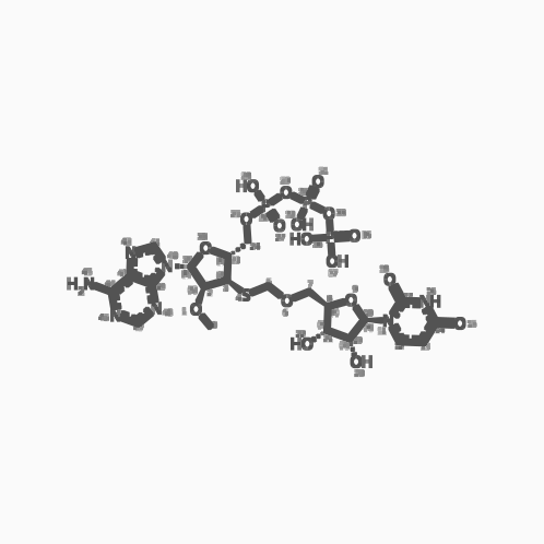 CO[C@@H]1[C@H](SCOC[C@H]2O[C@@H](n3ccc(=O)[nH]c3=O)[C@H](O)[C@@H]2O)[C@@H](COP(=O)(O)OP(=O)(O)OP(=O)(O)O)O[C@H]1n1cnc2c(N)ncnc21